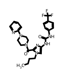 CCCCn1cc(NC(=O)Nc2ccc(C(F)(F)F)cc2)nc1C(=O)N1CCN(c2ccccn2)CC1